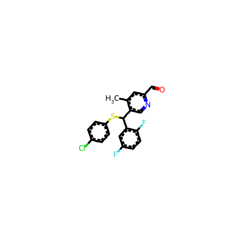 Cc1cc(C=O)ncc1C(Sc1ccc(Cl)cc1)c1cc(F)ccc1F